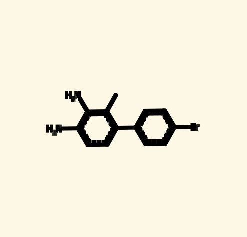 Cc1c(-c2ccc(Br)cc2)ccc(N)c1N